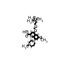 COc1cc(N2CCCN(C)CC2)c2nc(C(=O)O)cc(OCOCC[Si](C)(C)C)c2c1